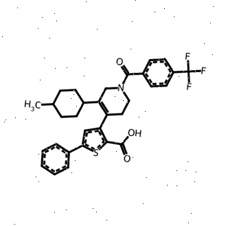 CC1CCC(C2=C(c3cc(-c4ccccc4)sc3C(=O)O)CCN(C(=O)c3ccc(C(F)(F)F)cc3)C2)CC1